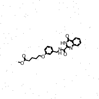 COC(=O)CCCCOc1cccc(CNC(=O)c2nc3ccccc3c(=O)[nH]2)c1